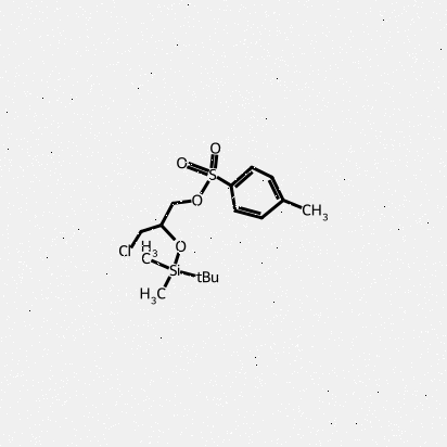 Cc1ccc(S(=O)(=O)OCC(CCl)O[Si](C)(C)C(C)(C)C)cc1